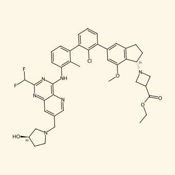 CCOC(=O)C1CN([C@H]2CCc3cc(-c4cccc(-c5cccc(Nc6nc(C(F)F)nc7cc(CN8CC[C@@H](O)C8)cnc67)c5C)c4Cl)cc(OC)c32)C1